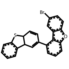 Brc1ccc2oc3cccc(C4=CC5c6ccccc6SC5C=C4)c3c2c1